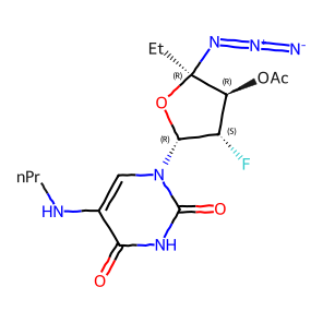 CCCNc1cn([C@@H]2O[C@@](CC)(N=[N+]=[N-])[C@@H](OC(C)=O)[C@@H]2F)c(=O)[nH]c1=O